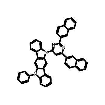 c1ccc(-n2c3ccccc3c3cc4c(cc32)c2ccccc2n4-c2cc(-c3ccc4ccccc4c3)nc(-c3ccc4ccccc4c3)n2)cc1